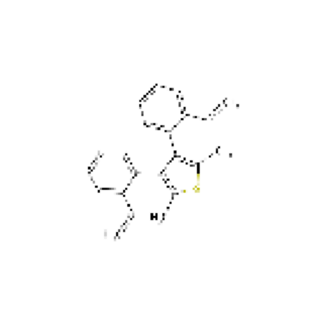 C=Cc1ccccc1-c1c(C)sc(C)c1-c1ccccc1C=C